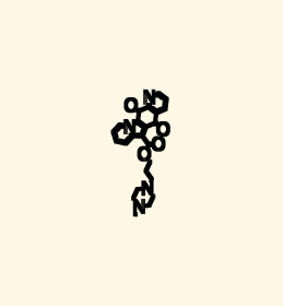 CN1CCN(CCCOC(=O)c2c3c(n4ccccc24)C(=O)c2ncccc2C3=O)CC1